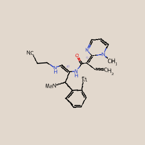 C=C/C(C(=O)N/C(=C/NCCC#N)C(NC)c1ccccc1CC)=C1/N=CC=CN1C